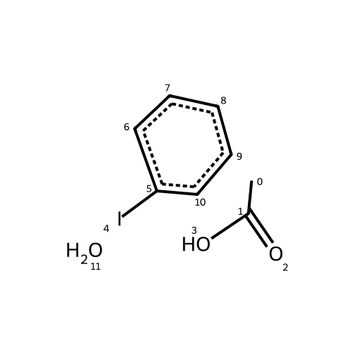 CC(=O)O.Ic1ccccc1.O